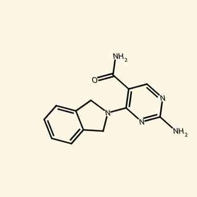 NC(=O)c1cnc(N)nc1N1Cc2ccccc2C1